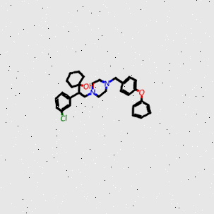 OC1(C(CN2CCN(Cc3ccc(Oc4ccccc4)cc3)CC2)c2cccc(Cl)c2)CCCCC1